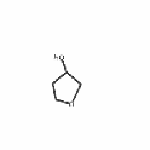 O[C]1CCOC1